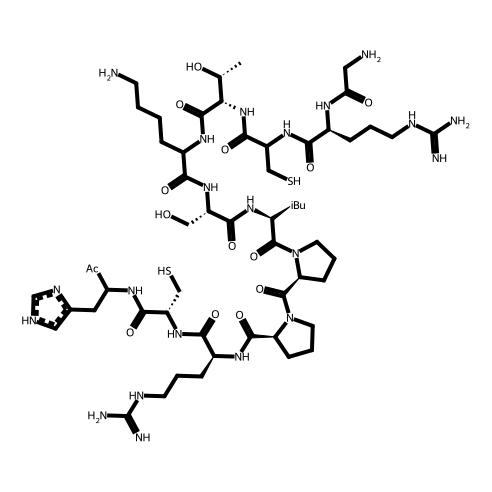 CC[C@H](C)[C@H](NC(=O)[C@H](CO)NC(=O)C(CCCCN)NC(=O)[C@@H](NC(=O)C(CS)NC(=O)[C@H](CCCNC(=N)N)NC(=O)CN)[C@@H](C)O)C(=O)N1CCC[C@H]1C(=O)N1CCC[C@H]1C(=O)N[C@@H](CCCNC(=N)N)C(=O)N[C@@H](CS)C(=O)NC(Cc1c[nH]cn1)C(C)=O